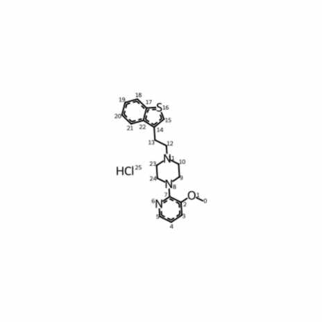 COc1cccnc1N1CCN(CCc2csc3ccccc23)CC1.Cl